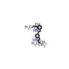 CCCC(C)(C)c1cccc2cc(-c3ccc4[nH]c(C(C)(C)C)cc4c3)[nH]c12